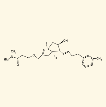 Cc1cccc(CC/C=C/[C@@H]2[C@H]3CC(COCCC(=O)N(C)C(C)(C)C)=C[C@H]3C[C@H]2O)c1